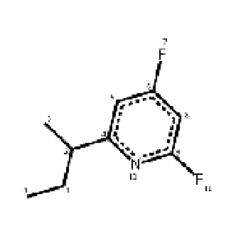 CCC(C)c1cc(F)cc(F)n1